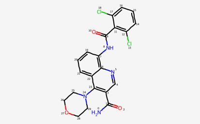 NC(=O)c1cnc2c(NC(=O)c3c(Cl)cccc3Cl)cccc2c1N1CCOCC1